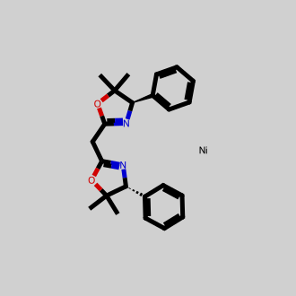 CC1(C)OC(CC2=N[C@H](c3ccccc3)C(C)(C)O2)=N[C@@H]1c1ccccc1.[Ni]